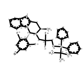 C[C@@H]1Cc2nc3ccccc3n2[C@@H](c2c(F)cc(Br)cc2F)N1CC(F)(F)CO[Si](c1ccccc1)(c1ccccc1)C(C)(C)C